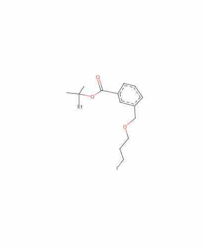 CCC(C)(C)OC(=O)c1cccc(COCCCI)c1